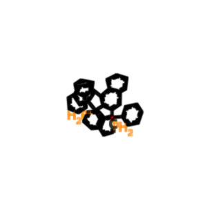 PC(c1ccccc1)(c1ccccc1)c1cc2ccccc2c(-c2cccc3ccccc23)c1C(P)(c1ccccc1)c1ccccc1